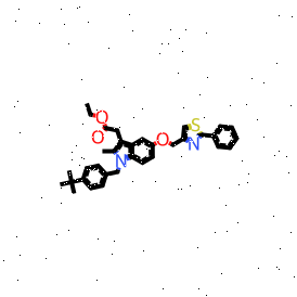 CCOC(=O)Cc1c(C)n(Cc2ccc(C(C)(C)C)cc2)c2ccc(OCc3csc(-c4ccccc4)n3)cc12